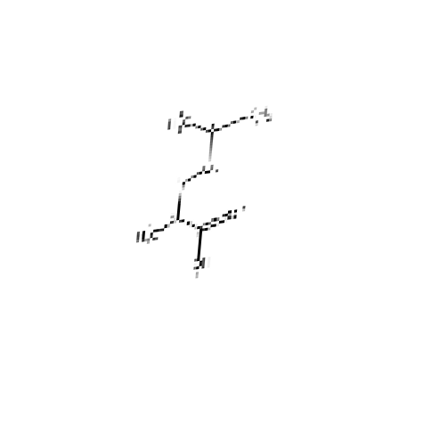 CC(C)OCC(C)C(=O)O